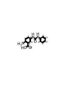 Nc1ccc(NC(=O)Nc2ccccc2)cc1C(=O)O